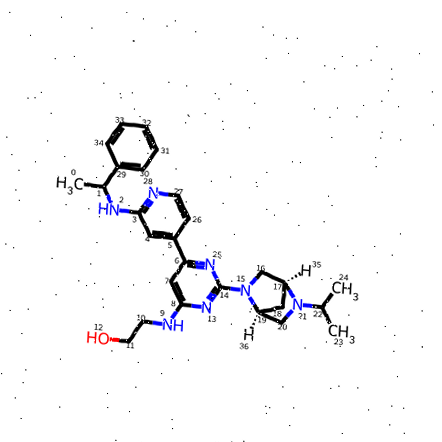 CC(Nc1cc(-c2cc(NCCO)nc(N3C[C@@H]4C[C@H]3CN4C(C)C)n2)ccn1)c1ccccc1